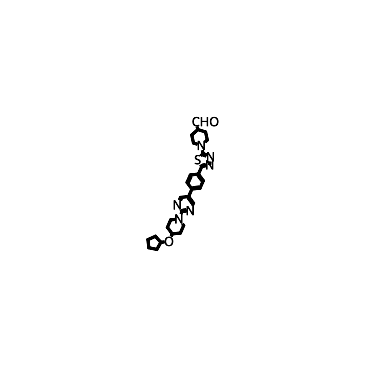 O=CC1CCN(c2nnc(-c3ccc(-c4cnc(N5CCC(OC6CCCC6)CC5)nc4)cc3)s2)CC1